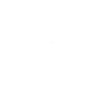 C1=C\CNc2c(ccc3c2sc2ccccc23)C\C=C/1